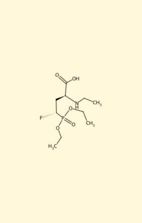 CCN[C@@H](C[C@@H](F)P(=O)(OCC)OCC)C(=O)O